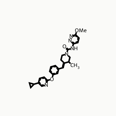 COc1ccc(NC(=O)N2CCC(=Cc3cccc(Oc4ccc(C5CC5)cn4)c3)C(C)C2)nn1